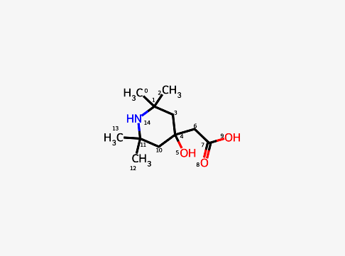 CC1(C)CC(O)(CC(=O)O)CC(C)(C)N1